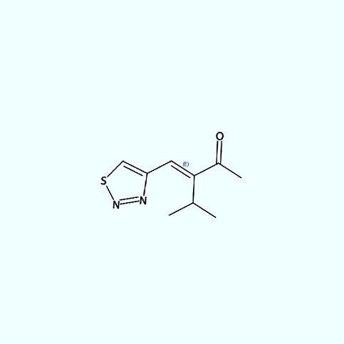 CC(=O)/C(=C/c1csnn1)C(C)C